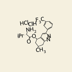 CC(C)[C@H](N)C(=O)O[C@@H]1C[C@H](C)Cc2nnc(-c3cccc(C(F)(F)F)c3)cc21.Cl.Cl